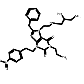 CCCn1c(=O)c2c(nc(Cc3ccccc3)n2CCNCC(O)CC)n(CCc2ccc([N+](=O)[O-])cc2)c1=O